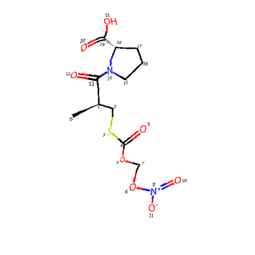 C[C@H](CSC(=O)OCO[N+](=O)[O-])C(=O)N1CCC[C@H]1C(=O)O